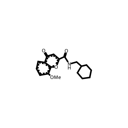 COc1cccc2c(=O)cc(C(=O)NCC3CCCCC3)oc12